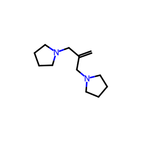 C=C(CN1CCCC1)CN1CCCC1